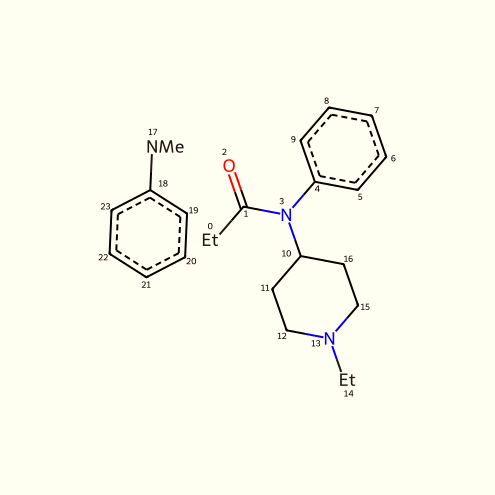 CCC(=O)N(c1ccccc1)C1CCN(CC)CC1.CNc1ccccc1